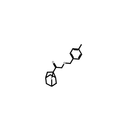 Cc1ccc(COCC(=O)C23CC4CC(CC2C4)C3)cc1